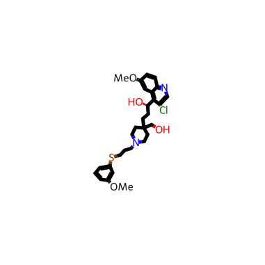 COc1cccc(SCCCN2CCC(CO)(CC[C@@H](O)c3c(Cl)cnc4ccc(OC)cc34)CC2)c1